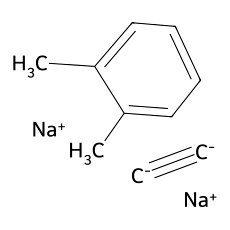 Cc1ccccc1C.[C-]#[C-].[Na+].[Na+]